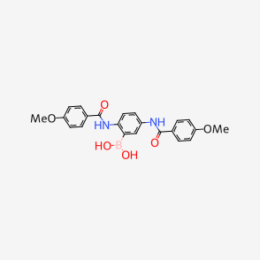 COc1ccc(C(=O)Nc2ccc(NC(=O)c3ccc(OC)cc3)c(B(O)O)c2)cc1